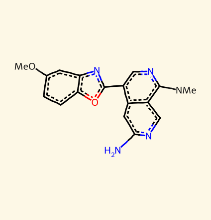 CNc1ncc(-c2nc3cc(OC)ccc3o2)c2cc(N)ncc12